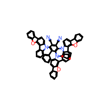 N#Cc1c(C#N)c(-n2c3ccccc3c3c4oc5ccccc5c4ccc32)c(-n2c3ccccc3c3c4oc5ccccc5c4ccc32)c(-c2ccccc2)c1-n1c2ccccc2c2c3oc4ccccc4c3ccc21